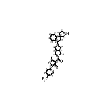 Cc1nn(-c2ccc(C(F)(F)F)cn2)c(C)c1C(=O)N1CC2=CN(CCC3(c4ccccc4)CCNC3)CC2C1